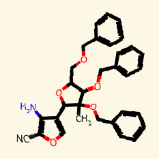 CC1(OCc2ccccc2)C(c2coc(C#N)c2N)OC(COCc2ccccc2)C1OCc1ccccc1